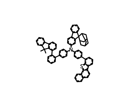 CC1(C)c2ccccc2-c2cccc(-c3ccccc3-c3ccc(N(c4ccc(-c5cccc6c5sc5c7ccccc7ccc65)cc4)c4ccc5c(c4)C4(c6ccccc6-5)C5CC6CC(C5)CC4C6)cc3)c21